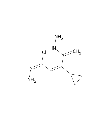 C=C(NN)/C(=C\C(Cl)=N/N)C1CC1